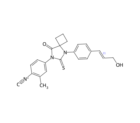 [C-]#[N+]c1ccc(N2C(=O)C3(CCC3)N(c3ccc(/C=C/CO)cc3)C2=S)cc1C